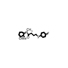 COc1ccccc1N(C)C(=O)CCCSc1ccc(F)cc1